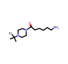 CCC(C)(C)N1CCN(C(=O)CCCCCN)CC1